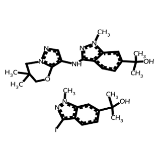 Cn1nc(I)c2ccc(C(C)(C)O)cc21.Cn1nc(Nc2cnn3c2OCC(C)(C)C3)c2ccc(C(C)(C)O)cc21